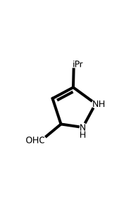 CC(C)C1=CC(C=O)NN1